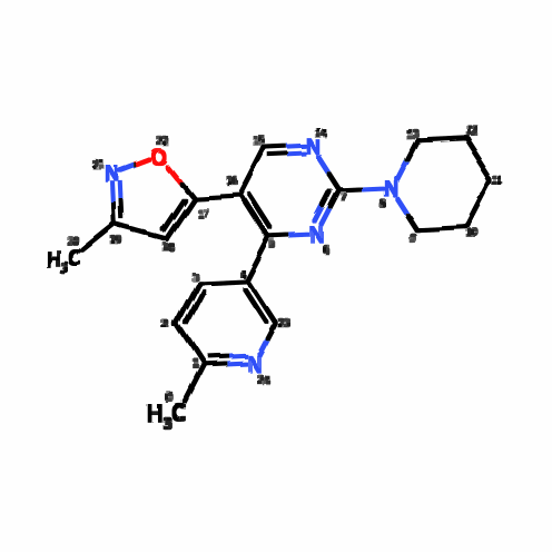 Cc1ccc(-c2nc(N3CCCCC3)ncc2-c2cc(C)no2)cn1